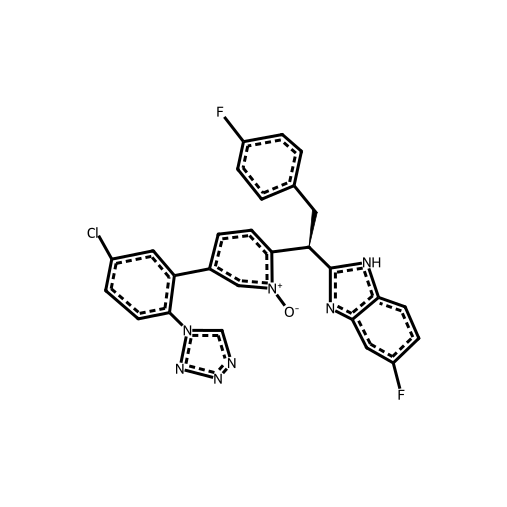 [O-][n+]1cc(-c2cc(Cl)ccc2-n2cnnn2)ccc1[C@@H](Cc1ccc(F)cc1)c1nc2cc(F)ccc2[nH]1